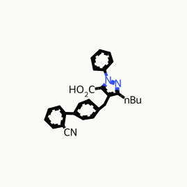 CCCCc1nn(-c2ccccc2)c(C(=O)O)c1Cc1ccc(-c2ccccc2C#N)cc1